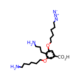 [N-]=[N+]=NCCCCCCOc1cc(C(=O)O)cc(OCCCCCCN)c1CCCN